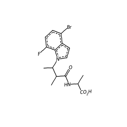 CC(NC(=O)C(C)C(C)n1ccc2c(Br)ccc(F)c21)C(=O)O